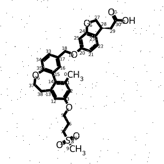 Cc1cc(OCCCS(C)(=O)=O)cc2c1-c1cc(COc3ccc4c(c3)OC[C@H]4CC(=O)O)ccc1OCC2